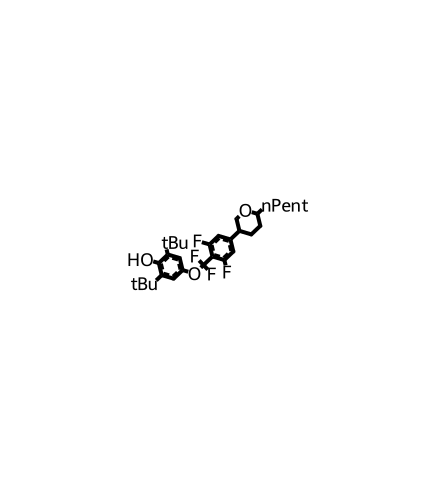 CCCCCC1CCC(c2cc(F)c(C(F)(F)Oc3cc(C(C)(C)C)c(O)c(C(C)(C)C)c3)c(F)c2)CO1